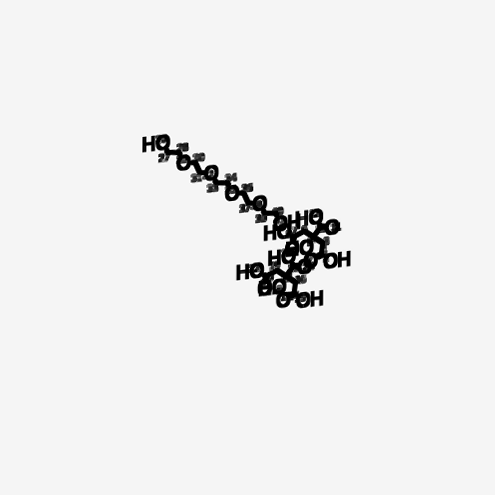 O=C(O)CC(O)(CC(=O)O)C(=O)O.O=C(O)CC(O)(CC(=O)O)C(=O)O.OCCOCCOCCOCCOCCO